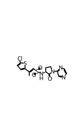 C/C(=C\S(=O)(=O)N[C@H]1CCN(c2cnccn2)C1=O)c1ccc(Cl)s1